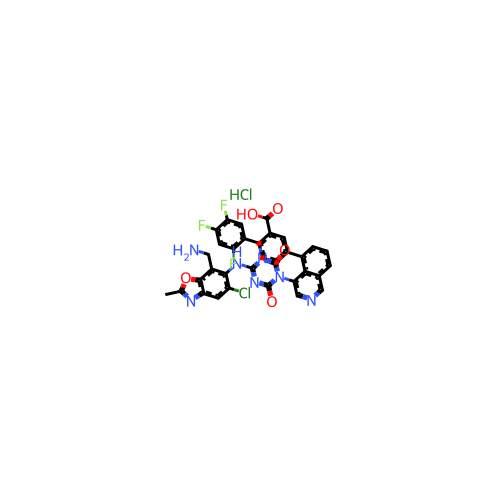 Cc1nc2cc(Cl)c(Nc3nc(=O)n(-c4cncc5cccc(-c6cccc(C(=O)O)c6)c45)c(=O)n3Cc3cc(F)c(F)cc3F)c(CN)c2o1.Cl